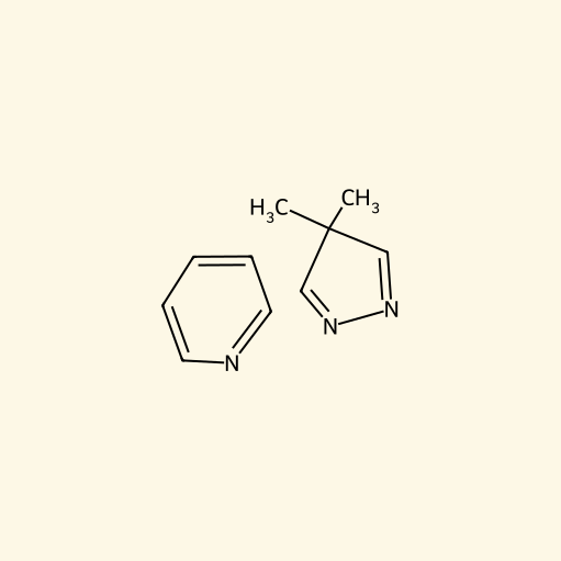 CC1(C)C=NN=C1.c1ccncc1